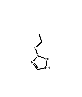 CCSN1N=CNN1